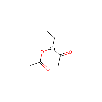 C[CH2][Cu]([O]C(C)=O)[C](C)=O